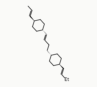 C/C=C/[C@H]1CC[C@H](/C=C/CC[C@H]2CC[C@H](/C=C/CC)CC2)CC1